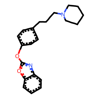 c1ccc2oc(Oc3ccc(CCCN4CCCCC4)cc3)nc2c1